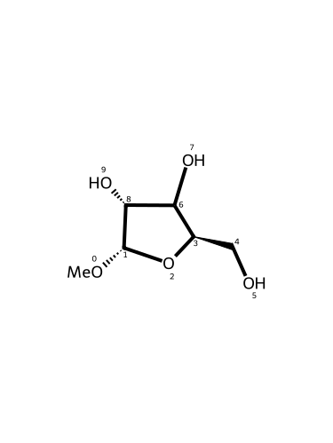 CO[C@H]1O[C@H](CO)C(O)[C@H]1O